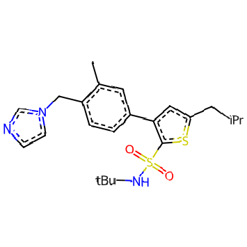 Cc1cc(-c2cc(CC(C)C)sc2S(=O)(=O)NC(C)(C)C)ccc1Cn1ccnc1